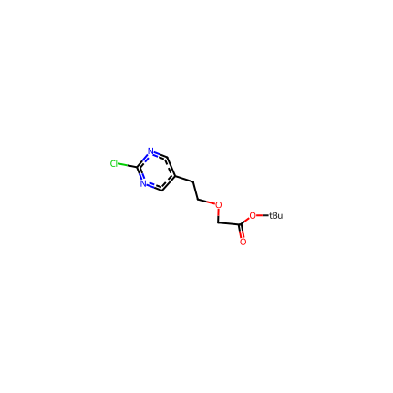 CC(C)(C)OC(=O)COCCc1cnc(Cl)nc1